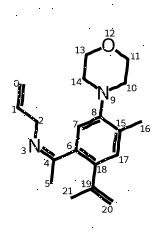 C=CC/N=C(/C)c1cc(N2CCOCC2)c(C)cc1C(=C)C